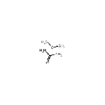 NC(N)=O.[SiH3]O[SiH3]